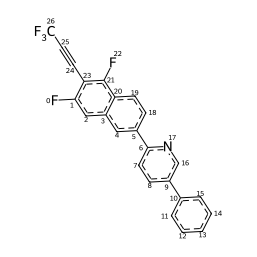 Fc1cc2cc(-c3ccc(-c4ccccc4)cn3)ccc2c(F)c1C#CC(F)(F)F